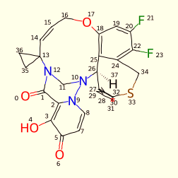 O=C1c2c(O)c(=O)ccn2N2CN1C1(/C=C\COc3cc(F)c(F)c4c3[C@H]2c2ccccc2SC4)CC1